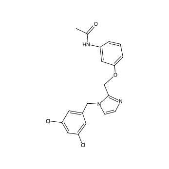 CC(=O)Nc1cccc(OCc2nccn2Cc2cc(Cl)cc(Cl)c2)c1